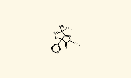 CN1N=C(C(C)(C)C)C(Br)(c2ccccc2)C1=O